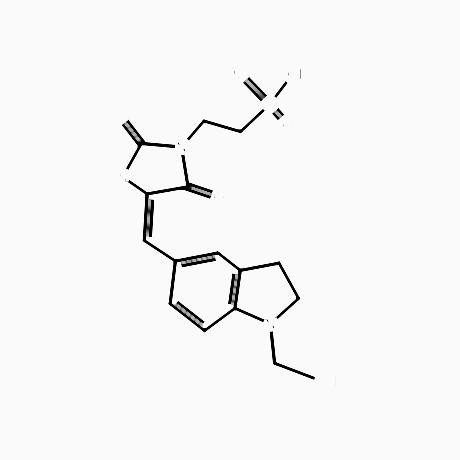 CCN1CCc2cc(C=C3SC(=S)N(CCS(=O)(=O)O)C3=O)ccc21